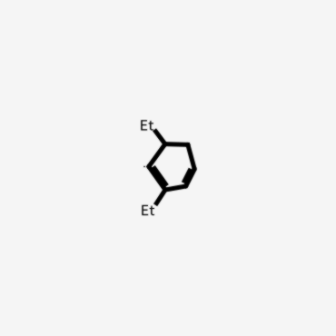 CCC1=[C]C(CC)CC=C1